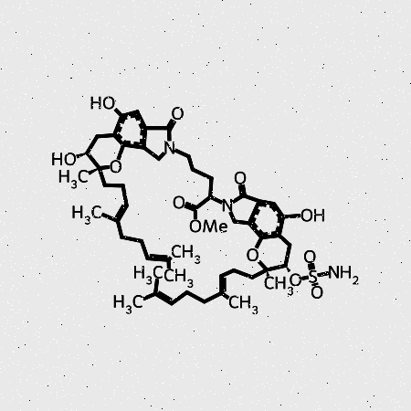 COC(=O)C(CCCN1Cc2c(cc(O)c3c2O[C@](C)(CC/C=C(\C)CCC=C(C)C)[C@@H](O)C3)C1=O)N1Cc2c(cc(O)c3c2O[C@](C)(CC/C=C(\C)CCC=C(C)C)[C@@H](OS(N)(=O)=O)C3)C1=O